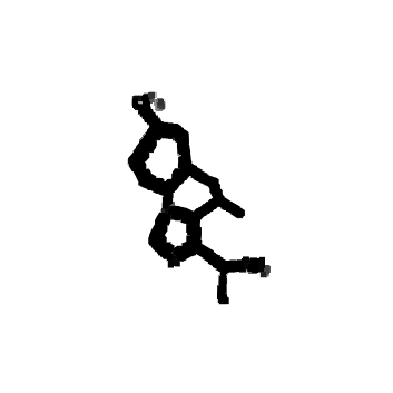 CC1Cc2cc(C(F)(F)F)ccc2-n2cnc([C@H](C)N)c21